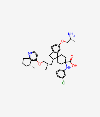 C[C@@H](COc1ccnc2c1[C@H](C)CCC2)CC1Cc2ccc(OC[C@@H](C)N)cc2C12CCC(Nc1cccc(Cl)c1)(C(=O)O)CC2